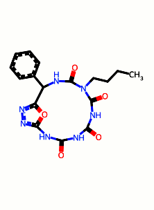 CCCCN1C(=O)NC(=O)NC(=O)Nc2nnc(o2)C(c2ccccc2)NC1=O